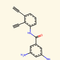 C#Cc1cccc(NC(=O)c2cc(N)cc(N)c2)c1C#C